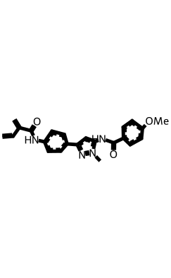 C=CC(=C)C(=O)Nc1ccc(-c2cc(NC(=O)c3ccc(OC)cc3)n(C)n2)cc1